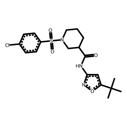 CC(C)(C)c1cc(NC(=O)C2CCCN(S(=O)(=O)c3ccc(Cl)cc3)C2)no1